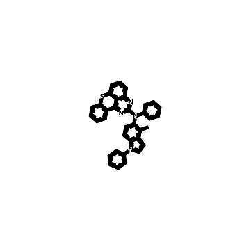 Cc1c(N(c2ccccc2)c2nc3c4c(cccc4n2)Sc2ccccc2-3)ccc2c1ccn2-c1ccccc1